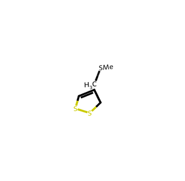 C1=CSSC1.CSC